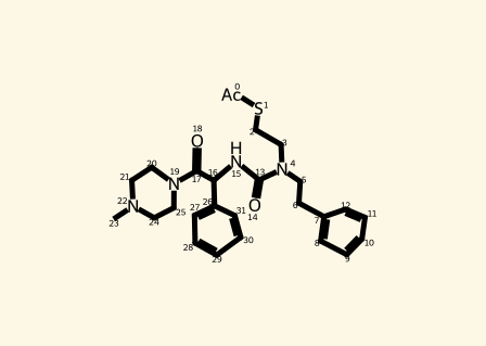 CC(=O)SCCN(CCc1ccccc1)C(=O)NC(C(=O)N1CCN(C)CC1)c1ccccc1